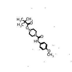 COc1ccc(NC(=O)N2CCN(OC(=O)C(C)(C)C)CC2)cc1